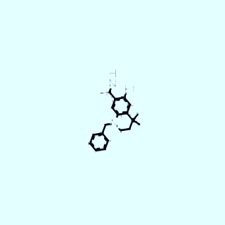 CCc1cc2c(cc1[C@@H](C)N)N(Cc1ccccc1)CCC2(C)C